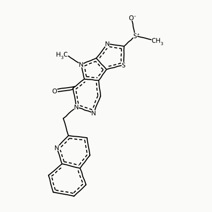 Cn1c2nc([S+](C)[O-])sc2c2cnn(Cc3ccc4ccccc4n3)c(=O)c21